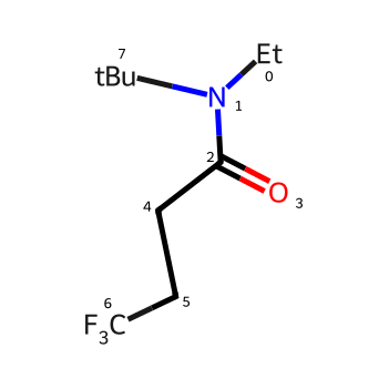 CCN(C(=O)CCC(F)(F)F)C(C)(C)C